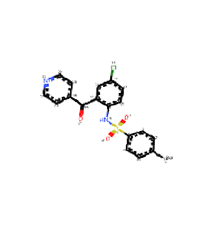 CC(C)(C)c1ccc(S(=O)(=O)Nc2ccc(Cl)cc2C(=O)c2ccncc2)cc1